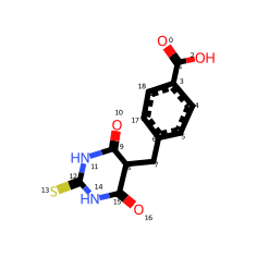 O=C(O)c1ccc(CC2C(=O)NC(=S)NC2=O)cc1